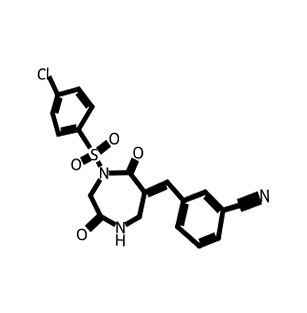 N#Cc1cccc(C=C2CNC(=O)CN(S(=O)(=O)c3ccc(Cl)cc3)C2=O)c1